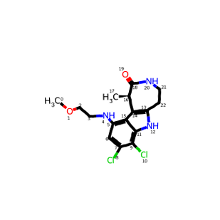 COCCNc1cc(Cl)c(Cl)c2[nH]c3c(c12)[C@@H](C)C(=O)NCC3